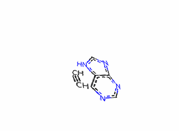 C#C.c1ncc2[nH]cnc2n1